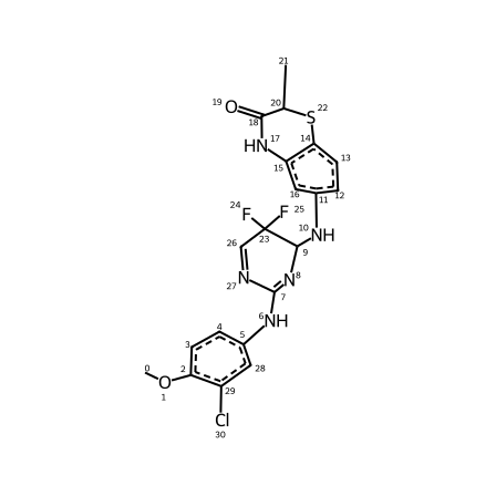 COc1ccc(NC2=NC(Nc3ccc4c(c3)NC(=O)C(C)S4)C(F)(F)C=N2)cc1Cl